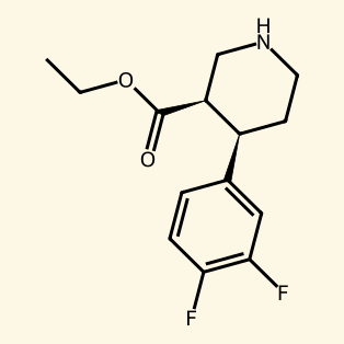 CCOC(=O)[C@H]1CNCC[C@H]1c1ccc(F)c(F)c1